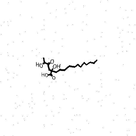 CCCCCCCCCCCCC(O)(CC(=O)C(C)O)C(=O)O